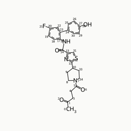 CC(=O)CCC(=O)N1CCC(c2nc(C(=O)Nc3ccc(F)cc3-c3ccc(O)cc3)cs2)CC1